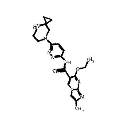 CCOc1nc2nc(C)cn2cc1C(=O)Nc1ccc(N2CCNC3(CC3)C2)nn1